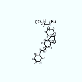 CC(C)(C)C(CC(=O)O)N1CCC2(CC1)COc1cc(OCC3CC=CCC3)ccc12